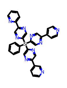 c1ccc([Si](c2cnc(-c3ccncc3)cn2)(c2cnc(-c3cccnc3)cn2)c2cnc(-c3ccccn3)cn2)cc1